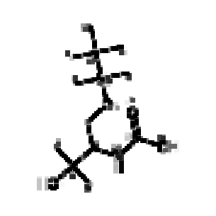 CC(C)(O)C(CO[Si](C)(C)C(C)(C)C)NC(=O)O